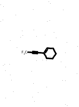 FC(F)(F)C#CC1=CC[CH]CC1